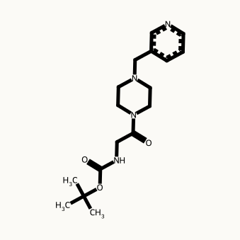 CC(C)(C)OC(=O)NCC(=O)N1CCN(Cc2cccnc2)CC1